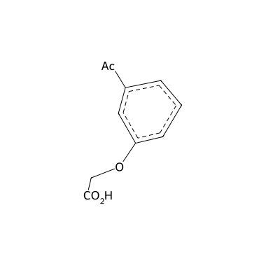 CC(=O)c1cccc(OCC(=O)O)c1